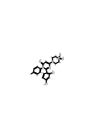 Cc1ccc(-n2c(-c3ccc(Cl)cc3Cl)nc(N3CCS(=O)(=O)CC3)cc2=O)cc1